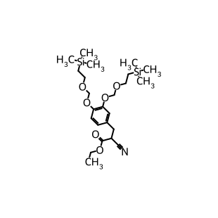 CCOC(=O)C(C#N)Cc1ccc(OCOCC[Si](C)(C)C)c(OCOCC[Si](C)(C)C)c1